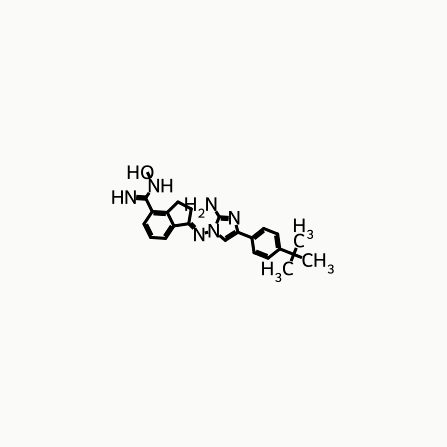 CC(C)(C)c1ccc(-c2cn(/N=C3\CCc4c(C(=N)NO)cccc43)c(N)n2)cc1